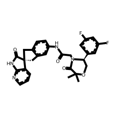 CC1(C)OC[C@H](c2cc(F)cc(F)c2)N(CC(=O)Nc2ccc3c(c2)C[C@@]2(C3)C(=O)Nc3ncccc32)C1=O